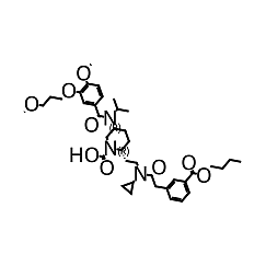 CCCCOC(=O)c1cccc(CC(=O)N(CC[C@H]2CC[C@@H](N(C(=O)c3ccc(OC)c(OCCCOC)c3)C(C)C)CN2C(=O)O)C2CC2)c1